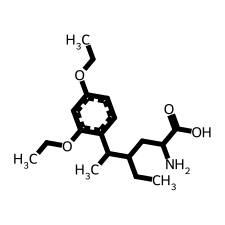 CCOc1ccc(C(C)C(CC)CC(N)C(=O)O)c(OCC)c1